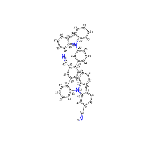 N#Cc1ccc2c3ccccc3n(-c3ccccc3-c3ccc(-c4cccc(-n5c6ccccc6c6ccccc65)c4)c(C#N)c3)c2c1